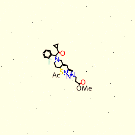 COC(=O)CCn1cc(C=C2CN(C(C(=O)C3CC3)c3ccccc3F)CCC2SC(C)=O)nn1